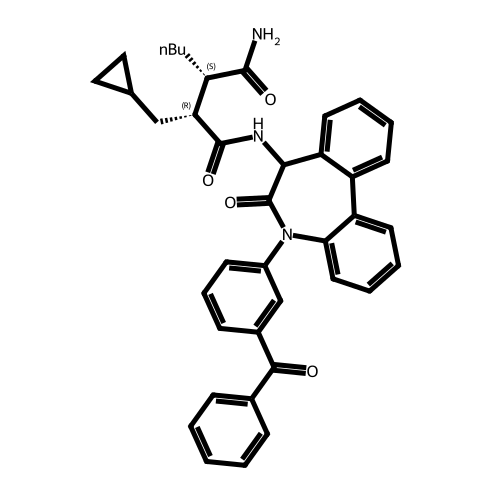 CCCC[C@H](C(N)=O)[C@@H](CC1CC1)C(=O)NC1C(=O)N(c2cccc(C(=O)c3ccccc3)c2)c2ccccc2-c2ccccc21